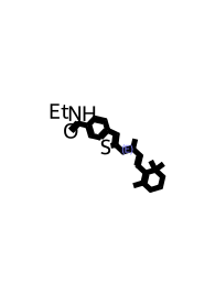 CCNC(=O)c1ccc2cc(/C=C(\C)C=CC3=C(C)CCCC3(C)C)sc2c1